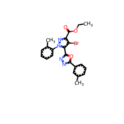 CCOC(=O)c1nn(-c2ccccc2C)c(-c2nnc(-c3cccc(C)c3)o2)c1Br